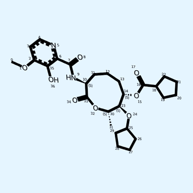 COc1ccnc(C(=O)N[C@H]2CCC[C@H](OC(=O)C3CCCC3)[C@@H](OC3CCCC3)[C@H](C)OC2=O)c1O